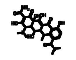 CC1c2c(C(=O)N(C)C)ccc(O)c2C(=O)C2=C(O)C3(O)C(=O)C(C(N)=O)=C(O)C(N(C)C)C3C(O)C21